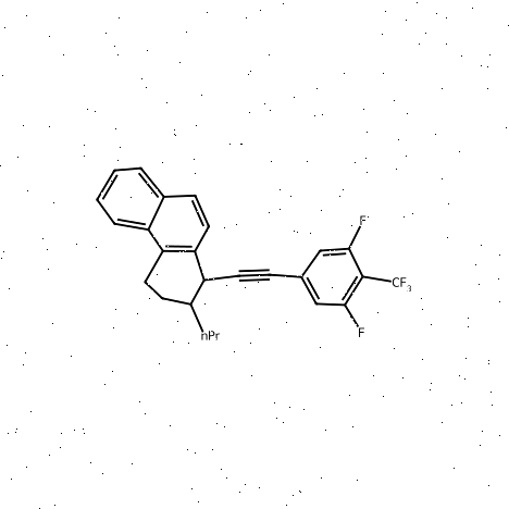 CCCC1CCc2c(ccc3ccccc23)C1C#Cc1cc(F)c(C(F)(F)F)c(F)c1